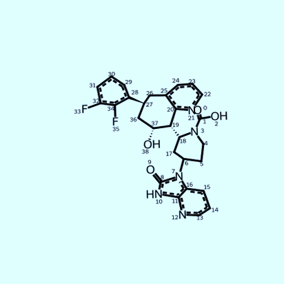 O=C(O)N1CCC(n2c(=O)[nH]c3ncccc32)CC1[C@H]1c2ncccc2C[C@H](c2cccc(F)c2F)C[C@H]1O